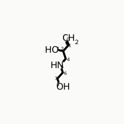 C=CC(O)CNCCO